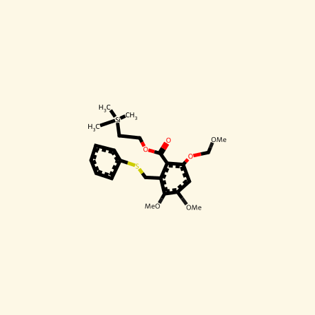 COCOc1cc(OC)c(OC)c(CSc2ccccc2)c1C(=O)OCC[Si](C)(C)C